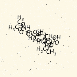 C=C(C)[C@@H]1CC[C@]2(C(=O)O)CC[C@]3(C)[C@H](CC[C@@H]4[C@@]5(C)CC=C(c6ccc(C(=O)NS(=O)(=O)C(C)C)cc6)C(C)(C)[C@@H]5CC[C@]43C)[C@@H]12